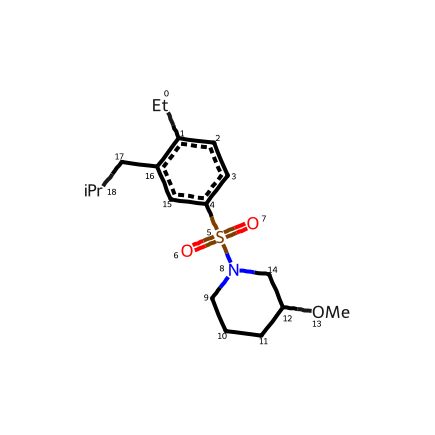 CCc1ccc(S(=O)(=O)N2CCCC(OC)C2)cc1CC(C)C